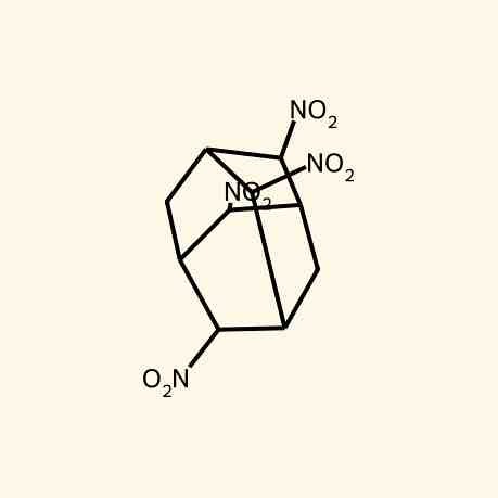 O=[N+]([O-])C1C2CC3C([N+](=O)[O-])C1CC(C2[N+](=O)[O-])C3[N+](=O)[O-]